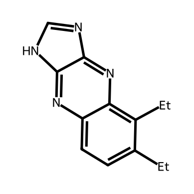 CCc1ccc2nc3[nH]cnc3nc2c1CC